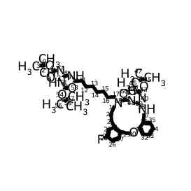 CC(C)(C)OC(=O)/N=C(/NCCCCCCCCN1CCCc2cc(F)ccc2COc2ccccc2CN/C(=N/C(=O)OC(C)(C)C)NC1=O)NC(=O)OC(C)(C)C